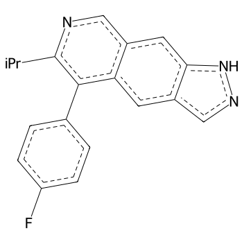 CC(C)c1ncc2cc3[nH]ncc3cc2c1-c1ccc(F)cc1